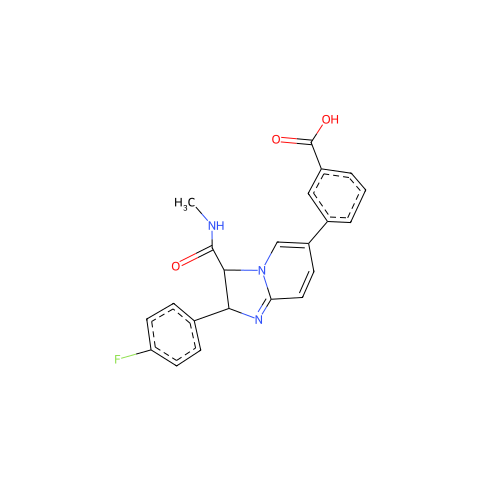 CNC(=O)C1C(c2ccc(F)cc2)N=C2C=CC(c3cccc(C(=O)O)c3)=CN21